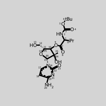 CC(C)C(NC(=O)OC(C)(C)C)C(=O)OC1[C@@H](CO)O[C@@H](n2ccc(N)nc2=O)[C@@]1(C)O